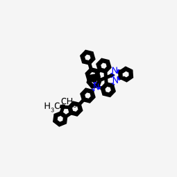 CC1(C)c2ccccc2-c2ccc(-c3ccc(N(c4ccc(-c5ccccc5)cc4)c4cccc5c4C4(c6ccccc6-c6ccccc64)c4nc6ccccc6n4-5)cc3)cc21